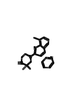 Cc1cccc2ccc(N3CCNC(C)(C)C3)nc12.c1ccncc1